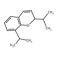 CC(C)c1cccc2c1OC(C(C)C)C=C2